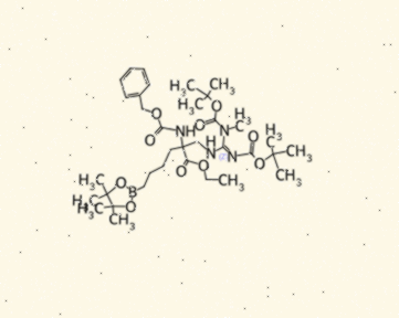 CCOC(=O)C(CCCCB1OC(C)(C)C(C)(C)O1)(CN/C(=N/C(=O)OC(C)(C)C)N(C)C(=O)OC(C)(C)C)NC(=O)OCc1ccccc1